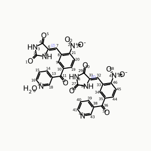 O.O=C1NC(=O)/C(=C/c2cc(C(=O)c3cccnc3)ccc2[N+](=O)[O-])N1.O=C1NC(=O)/C(=C/c2cc(C(=O)c3cccnc3)ccc2[N+](=O)[O-])N1